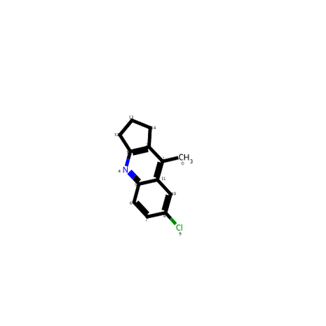 Cc1c2c(nc3ccc(Cl)cc13)CCC2